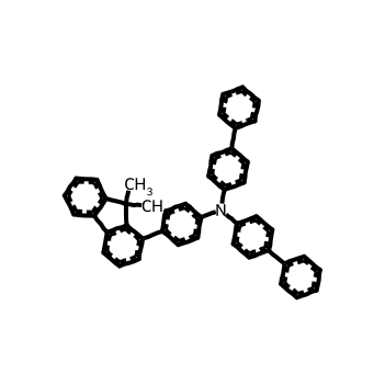 CC1(C)c2ccccc2-c2cccc(-c3ccc(N(c4ccc(-c5ccccc5)cc4)c4ccc(-c5ccccc5)cc4)cc3)c21